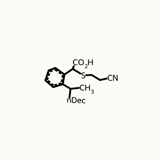 CCCCCCCCCCC(C)c1ccccc1C(SCCC#N)C(=O)O